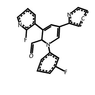 O=CC1C(c2cccnc2F)=CC(c2ccccn2)=CN1c1cccc(F)c1